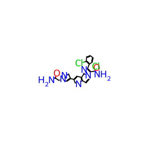 NC(=O)Cn1cc(-c2cnc3ccn4c(C(N)=O)c(-c5c(Cl)cccc5Cl)nc4c3c2)cn1